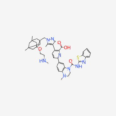 CNCCOC12CC3(C)CC(C)(CC(Cn4ncc(-c5ccc(-c6ccc7c(c6)N(C(=O)Nc6nc8ccccc8s6)CCN7C)nc5C(=O)O)c4C)(C3)C1)C2